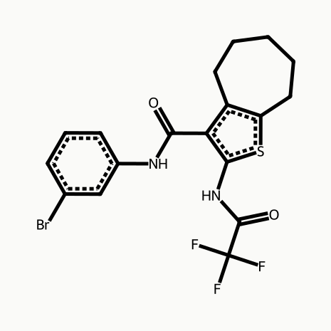 O=C(Nc1cccc(Br)c1)c1c(NC(=O)C(F)(F)F)sc2c1CCCCC2